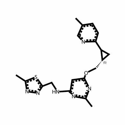 Cc1ccc(C2C[C@@H]2COc2cc(NCc3nnc(C)s3)nc(C)n2)nc1